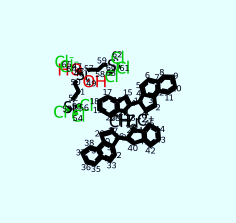 CC1=Cc2c(ccc3ccccc23)C1C1=Cc2ccccc2[CH]1[Zr+2][CH]1C(C2C(C)=Cc3c2ccc2ccccc32)=Cc2ccccc21.O[Si](O)(CCC[Si](Cl)(Cl)Cl)CCC[Si](Cl)(Cl)Cl.[Cl-].[Cl-]